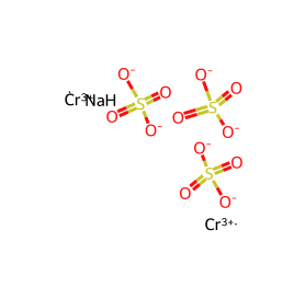 O=S(=O)([O-])[O-].O=S(=O)([O-])[O-].O=S(=O)([O-])[O-].[Cr+3].[Cr+3].[NaH]